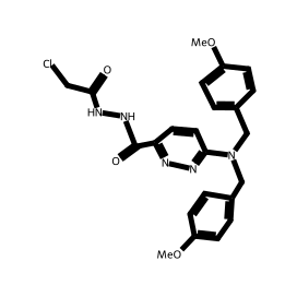 COc1ccc(CN(Cc2ccc(OC)cc2)c2ccc(C(=O)NNC(=O)CCl)nn2)cc1